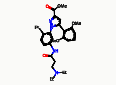 CCN(CC)CCC(=O)Nc1ccc(C(C)C)c(-n2nc(C(=O)OC)cc2-c2c(OC)cccc2OC)c1